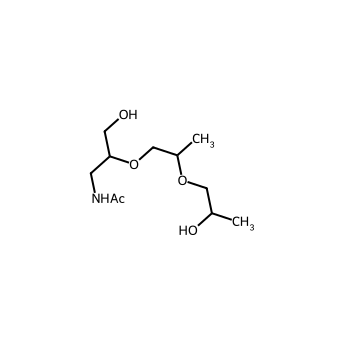 CC(=O)NCC(CO)OCC(C)OCC(C)O